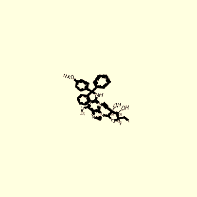 C#C[C@]1(O)C(n2cnc3c(OCC)nc(NC(c4ccccc4)(c4ccccc4)c4ccc(OC)cc4)nc32)O[C@](F)(CI)[C@H]1O